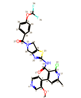 COc1cnccc1-c1cc(C)nc(Cl)c1C(=O)Nc1nc2c(s1)CN(C(=O)c1ccc(OC(F)F)cc1)C2